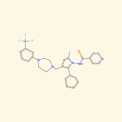 Cc1cc(CN2CCN(c3cccc(C(F)(F)F)c3)CC2)c(-c2ccccc2)n1NC(=O)c1ccncc1